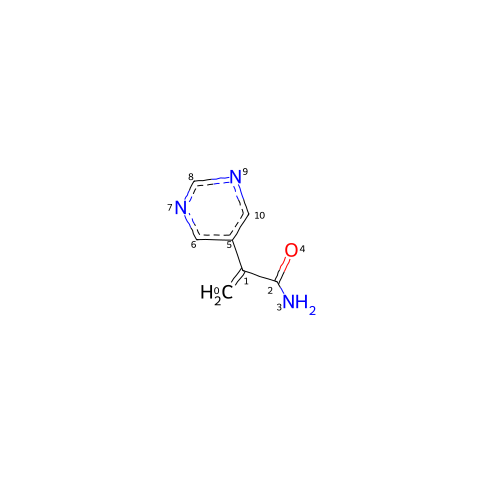 C=C(C(N)=O)c1cncnc1